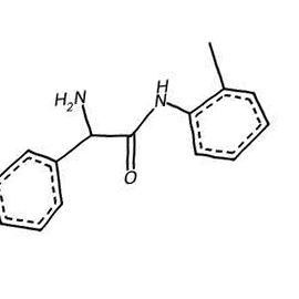 Cc1ccccc1NC(=O)C(N)c1ccccc1